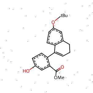 COC(=O)c1cc(O)ccc1C1=CCCc2cc(OC(C)(C)C)ccc21